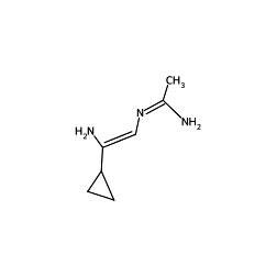 C/C(N)=N/C=C(\N)C1CC1